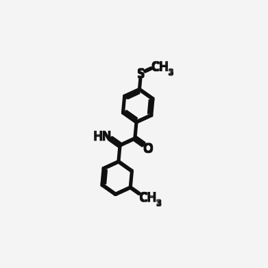 CSc1ccc(C(=O)C(=N)C2C=CCC(C)C2)cc1